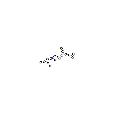 c1ccc(-c2ccc(N(c3ccc(-c4ccc(-n5c6ccccc6c6ccccc65)cc4)cc3)c3ccc(-c4cccc5cc(-c6cccc7c6c6ccccc6n7-c6ccc(-c7cccc(N(c8ccc(-c9ccccc9)cc8)c8ccc(-c9ccccc9)cc8)c7)cc6)ccc45)cc3)cc2)cc1